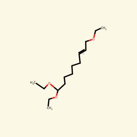 CCOC/C=C/CCCCCC(OCC)OCC